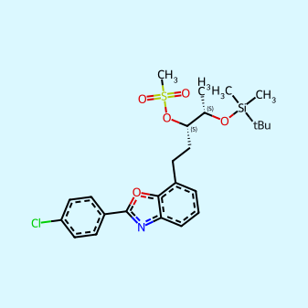 C[C@H](O[Si](C)(C)C(C)(C)C)[C@H](CCc1cccc2nc(-c3ccc(Cl)cc3)oc12)OS(C)(=O)=O